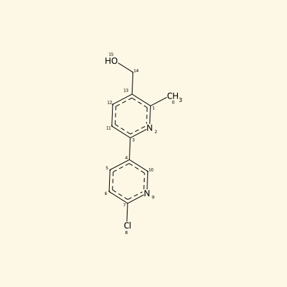 Cc1nc(-c2ccc(Cl)nc2)ccc1CO